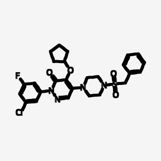 O=c1c(OC2CCCC2)c(N2CCN(S(=O)(=O)Cc3ccccc3)CC2)cnn1-c1cc(F)cc(Cl)c1